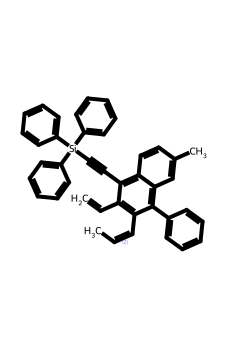 C=Cc1c(/C=C\C)c(-c2ccccc2)c2cc(C)ccc2c1C#C[Si](c1ccccc1)(c1ccccc1)c1ccccc1